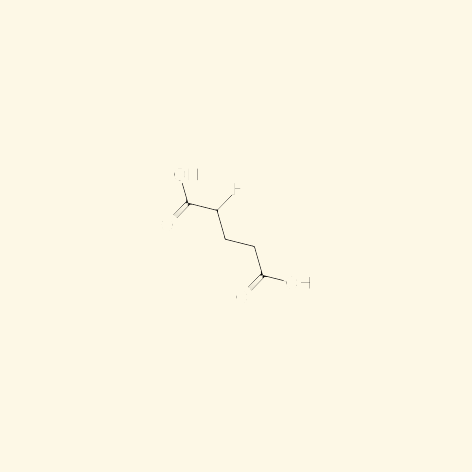 O=C(O)CCC(F)C(=O)O